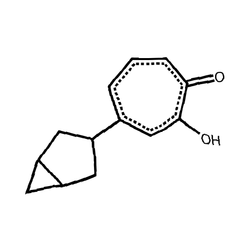 O=c1cccc(C2CC3CC3C2)cc1O